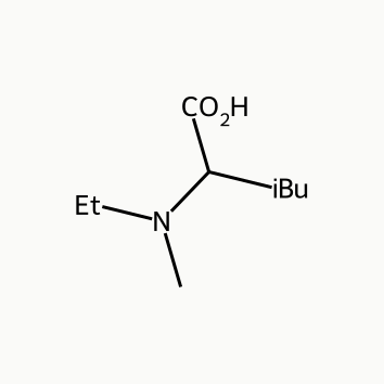 CCC(C)C(C(=O)O)N(C)CC